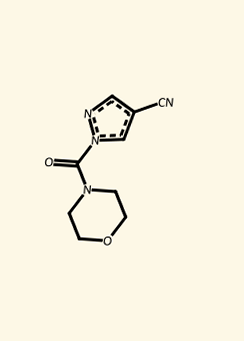 N#Cc1cnn(C(=O)N2CCOCC2)c1